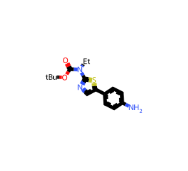 CCN(C(=O)OC(C)(C)C)c1ncc(-c2ccc(N)cc2)s1